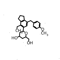 CCc1c(C2CC(O)CC(CO)O2)cc(Cc2ccc(OC)cc2)c2c1CCC2